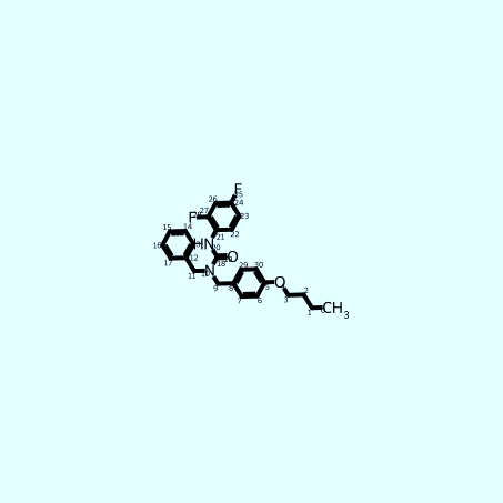 CCCCOc1ccc(CN(Cc2ccccc2)C(=O)Nc2ccc(F)cc2F)cc1